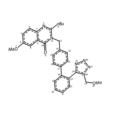 CCCCc1nc2ccc(OC)cc2c(=O)n1Cc1ccc(-c2ccccc2-c2nnnn2COC)cc1